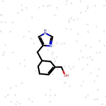 OCC1=CCCC(Cc2c[nH]cn2)C1